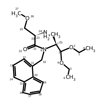 CCOC(OCC)[C@H](C)N(Cc1cccc2ccccc12)C(=O)[C@@H](N)COC